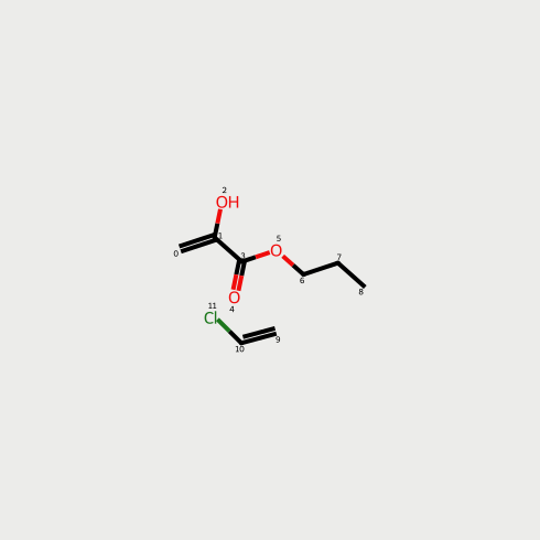 C=C(O)C(=O)OCCC.C=CCl